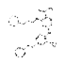 NC(=O)c1ccc(Nc2ccc(OCc3ccccc3)cc2C2CC2)cc1OCCCC1CCCCC1